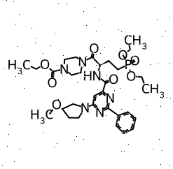 CCOC(=O)N1CCN(C(=O)[C@@H](CCP(=O)(OCC)OCC)NC(=O)c2cc(N3CC[C@H](OC)C3)nc(-c3ccccc3)n2)CC1